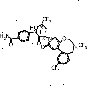 NC(=O)c1ccc(NC(=O)[C@H](C[C@@H](O)C(F)(F)F)n2cc3c(cc2=O)-c2cc(Cl)ccc2C[C@@H](C(F)(F)F)CO3)cc1